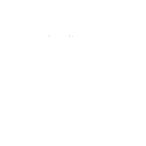 C=C1c2ccccc2C(=O)c2cc(C(C)OC(=O)N3CCCCC3)ccc21